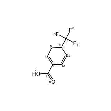 O=C(O)C1=CCC(C(F)(F)F)C=C1